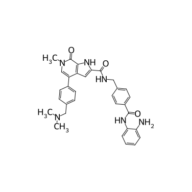 CN(C)Cc1ccc(-c2cn(C)c(=O)c3[nH]c(C(=O)NCc4ccc(C(=O)Nc5ccccc5N)cc4)cc23)cc1